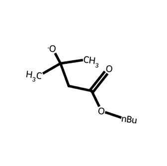 CCCCOC(=O)CC(C)(C)[O]